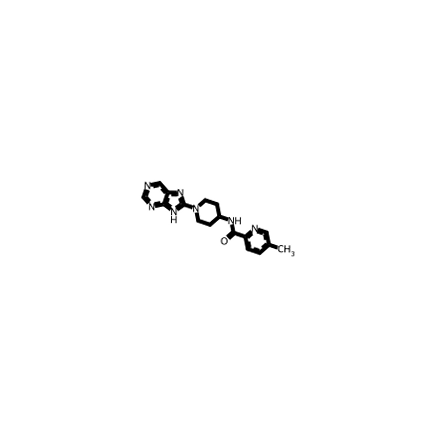 Cc1ccc(C(=O)NC2CCN(c3nc4cncnc4[nH]3)CC2)nc1